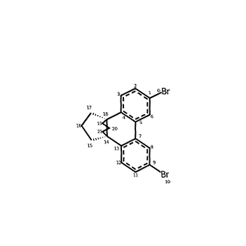 Brc1ccc2c(c1)-c1cc(Br)ccc1[C@]13CCC[C@]21CCC3